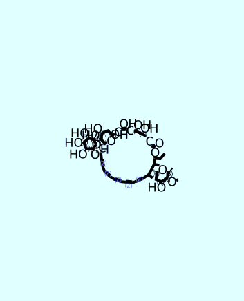 CCC1OC(=O)CC[C@@H](O)[C@H](O)C[C@H](O)C[C@]2(O)C[C@H](O)[C@](C)(O)[C@H](CC(O[C@@H]3O[C@H](C)[C@@H](O)[C@H](O)[C@@H]3O)\C=C/C=C\C=C/C=C\C=C/C(C)C([C@H]3C[C@@H](O)[C@@H](OC)[C@H](C)O3)C1C)O2